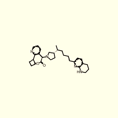 CC(CCCCc1ccc2c(n1)NCCC2)[C@@H]1CCN(C(C(=O)O)c2cccnc2C2CCC2)C1